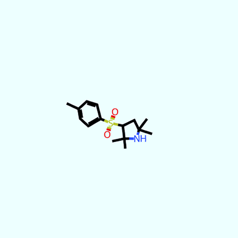 Cc1ccc(S(=O)(=O)C2CC(C)(C)NC2(C)C)cc1